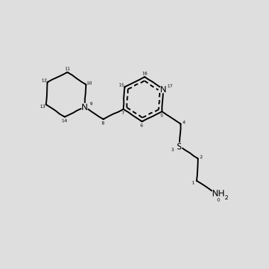 NCCSCc1cc(CN2CCCCC2)ccn1